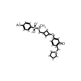 CC(=O)c1ccc(S(=O)(=O)N(C)CC2CC(Oc3ccc(CN4CCCC4)c(Cl)c3)C2)cc1